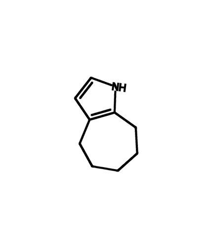 c1cc2c([nH]1)CCCCC2